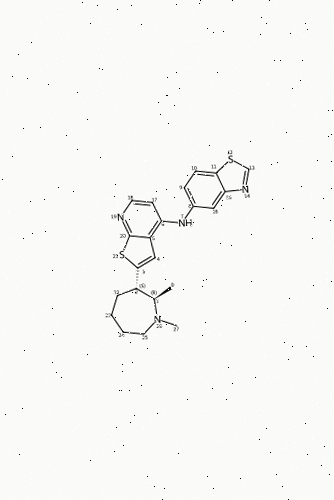 C[C@@H]1[C@@H](c2cc3c(Nc4ccc5scnc5c4)ccnc3s2)CCCCN1C